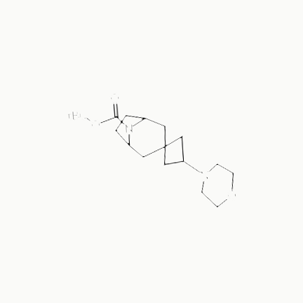 CC(C)(C)OC(=O)N1C2CCC1CC1(CC(N3CCOCC3)C1)C2